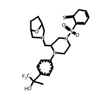 CC(O)(c1ccc(N2CCN(S(=O)(=O)C3=CC=CCC3=S)CC2CN2CC3CCC(C2)O3)cc1)C(F)(F)F